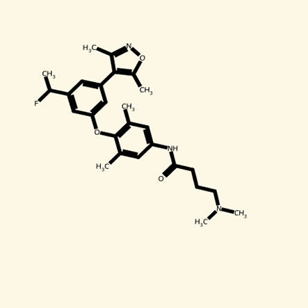 Cc1cc(NC(=O)CCCN(C)C)cc(C)c1Oc1cc(-c2c(C)noc2C)cc(C(C)F)c1